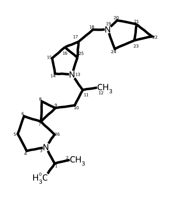 CC(C)N1CCCC2(CC2CC(C)N2CCC3C(CN4CC5CC5C4)C32)C1